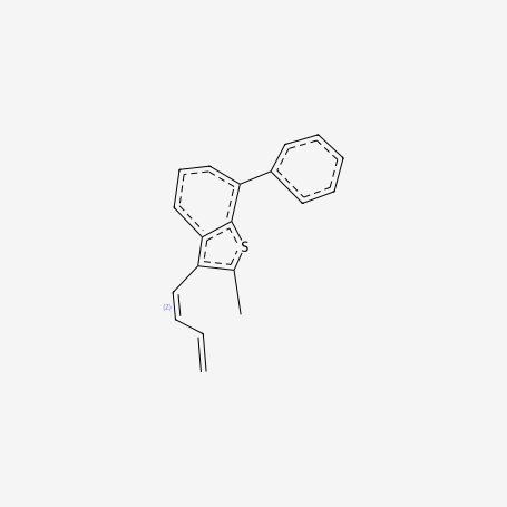 C=C/C=C\c1c(C)sc2c(-c3ccccc3)cccc12